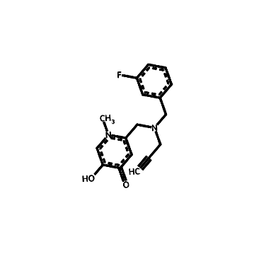 C#CCN(Cc1cccc(F)c1)Cc1cc(=O)c(O)cn1C